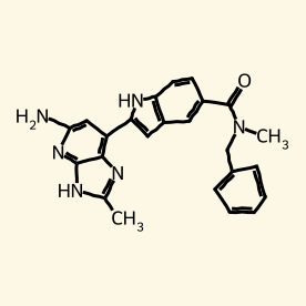 Cc1nc2c(-c3cc4cc(C(=O)N(C)Cc5ccccc5)ccc4[nH]3)cc(N)nc2[nH]1